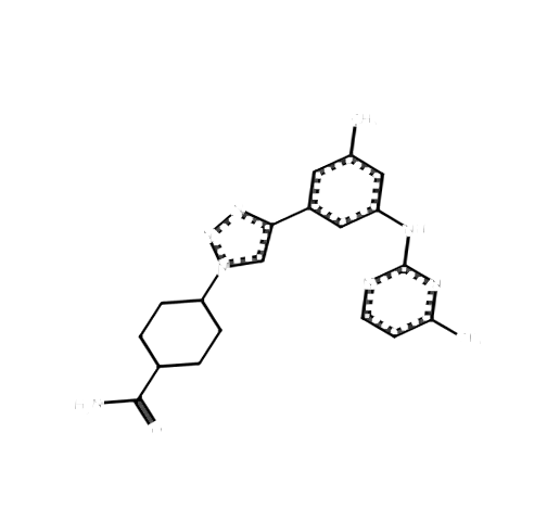 Cc1cc(Nc2nccc(C(F)(F)F)n2)cc(-c2cn(C3CCC(C(N)=O)CC3)nn2)c1